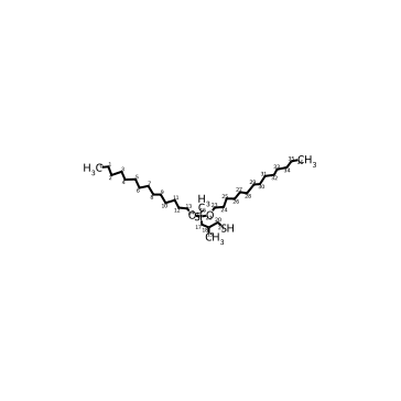 CCCCCCCCCCCCCCO[Si](C)(CC(C)CS)OCCCCCCCCCCCCCC